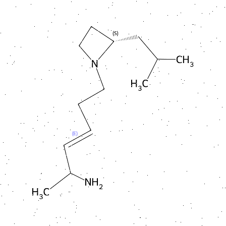 CC(N)/C=C/CCN1CC[C@@H]1CC(C)C